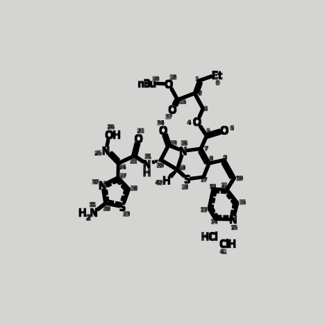 CC/C=C(\COC(=O)C1=C(/C=C\c2cccnc2)CS[C@@H]2[C@H](NC(=O)/C(=N\O)c3csc(N)n3)C(=O)N12)C(=O)OCCCC.Cl.Cl